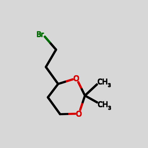 CC1(C)OCCC(CCBr)O1